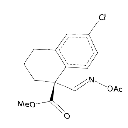 COC(=O)[C@@]1(/C=N/OC(C)=O)CCCc2cc(Cl)ccc21